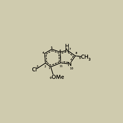 [CH2]Oc1c(Cl)ccc2[nH]c(C)nc12